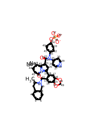 C[C@@H]1Cc2ccccc2CN1C(=O)c1cc2c(cc1-c1cc(C(=O)N(c3ccncc3)c3ccc(OP(=O)([O-])[O-])cc3)c3ccccn13)OCO2.[Na+].[Na+]